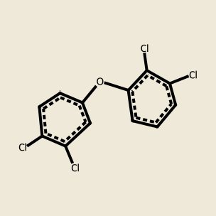 Clc1c[c]c(Oc2cccc(Cl)c2Cl)cc1Cl